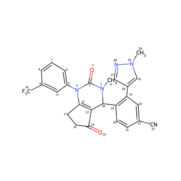 CN1C(=O)N(c2cccc(C(F)(F)F)c2)C2=C(C(=O)CC2)C1c1ccc(C#N)cc1-c1cnn(C)c1